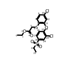 CCOC(=O)CSc1ccc(Cl)cc1Oc1ccc(S(=O)(=O)CC)cc1Cl